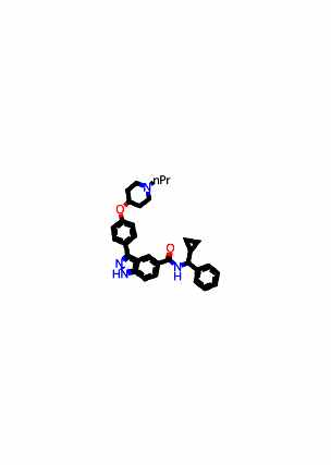 CCCN1CCC(Oc2ccc(-c3n[nH]c4ccc(C(=O)NC(c5ccccc5)C5CC5)cc34)cc2)CC1